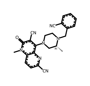 C[C@@H]1CN(c2c(C#N)c(=O)n(C)c3ccc(C#N)nc23)CCN1Cc1ccccc1C#N